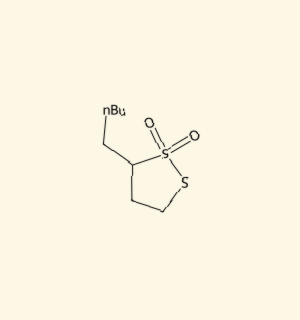 CCCCCC1CCSS1(=O)=O